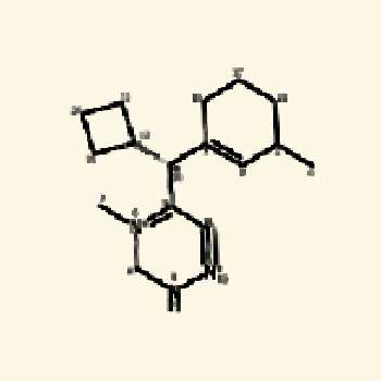 CC1C=C([C@H](C2=[N+](C)CN[N+]#C2)C2CCC2)CCC1